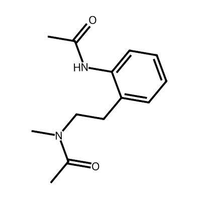 CC(=O)Nc1ccccc1CCN(C)C(C)=O